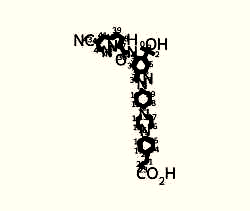 CC(C)(O)c1cc2nn(C3CCC(N4CCN(c5ccc(CCC(=O)O)cc5)CC4)CC3)cc2cc1NC(=O)c1ccc2cc(C#N)cnn12